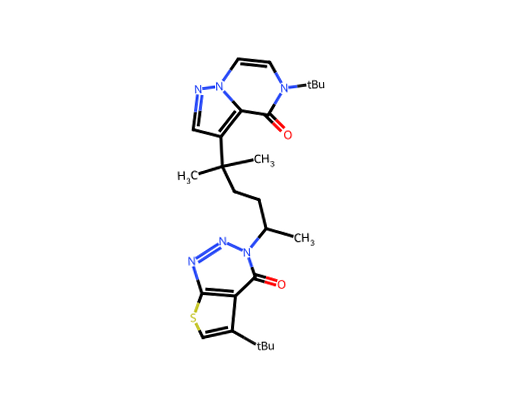 CC(CCC(C)(C)c1cnn2ccn(C(C)(C)C)c(=O)c12)n1nnc2scc(C(C)(C)C)c2c1=O